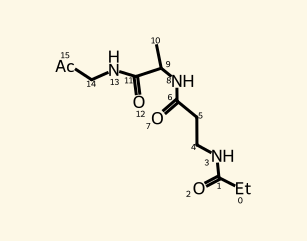 CCC(=O)NCCC(=O)NC(C)C(=O)NCC(C)=O